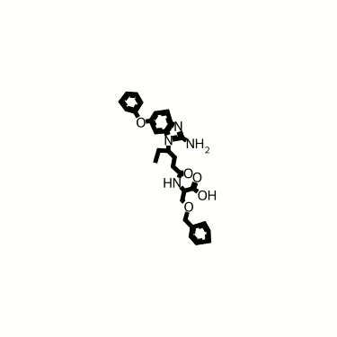 CCC(CCC(=O)NC(COCc1ccccc1)C(=O)O)n1c(N)nc2ccc(Oc3ccccc3)cc21